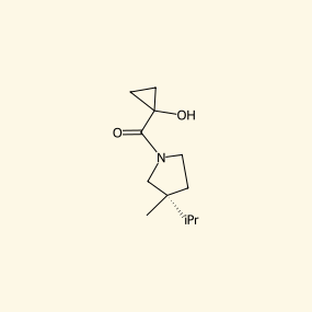 CC(C)[C@@]1(C)CCN(C(=O)C2(O)CC2)C1